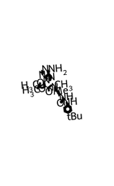 COC(CN(C)CCCNC(=O)Nc1ccc(C(C)(C)C)cc1)[C@H]1OC(C)(C)O[C@H]1n1cnc2c(N)ncnc21